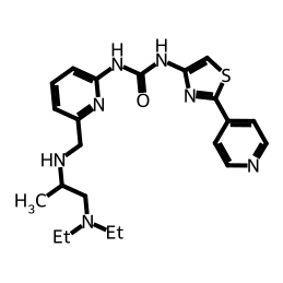 CCN(CC)CC(C)NCc1cccc(NC(=O)Nc2csc(-c3ccncc3)n2)n1